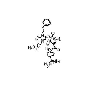 N=C(N)c1ccc(NC(=O)c2c[nH]c(=O)n(C[C@@H]3C[C@@H](CC(=O)O)C(=O)N3CCCc3ccccc3)c2=O)cc1